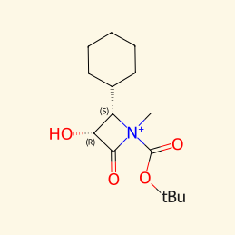 CC(C)(C)OC(=O)[N+]1(C)C(=O)[C@H](O)[C@@H]1C1CCCCC1